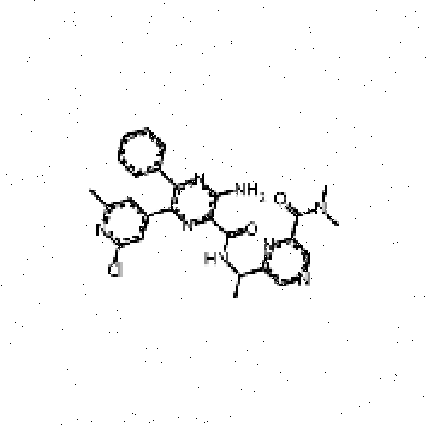 Cc1cc(-c2nc(C(=O)NC(C)c3cncc(C(=O)N(C)C)n3)c(N)nc2-c2ccccc2)cc(Cl)n1